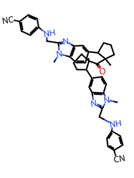 Cn1c(CNc2ccc(C#N)cc2)nc2cc(C3CCCC3(C)C(=O)C3(C)CCCC3c3ccc4c(c3)nc(CNc3ccc(C#N)cc3)n4C)ccc21